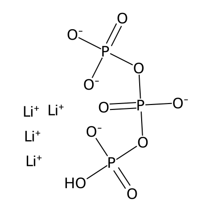 O=P([O-])([O-])OP(=O)([O-])OP(=O)([O-])O.[Li+].[Li+].[Li+].[Li+]